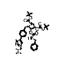 CC(C)(C)OC(=O)O[C@H]1CN(C(=O)OC(C)(C)C)[C@H](Cc2ccc(-c3cn(C[Si](C)(C)C)nn3)cc2)[C@@H]1OC(=O)NCc1ccccc1